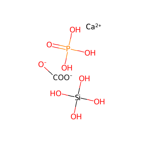 O=C([O-])[O-].O=P(O)(O)O.O[Si](O)(O)O.[Ca+2]